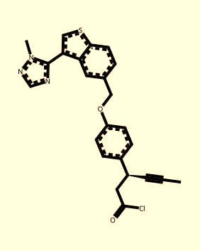 CC#C[C@@H](CC(=O)Cl)c1ccc(OCc2ccc3scc(-c4ncnn4C)c3c2)cc1